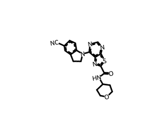 N#Cc1ccc2c(c1)CCN2c1ncnc2sc(C(=O)NC3CCOCC3)nc12